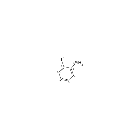 [SiH3]c1ccccc1I